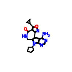 Nc1ncnc2c1c1c(n2C2CCCC2)CNC(=O)c2c-1noc2C1CC1